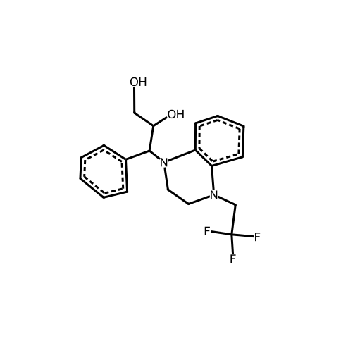 OCC(O)C(c1ccccc1)N1CCN(CC(F)(F)F)c2ccccc21